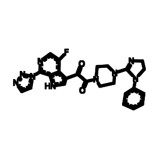 O=C(C(=O)N1CCN(C2=NCCN2c2ccccc2)CC1)c1c[nH]c2c(-n3ccnn3)ncc(F)c12